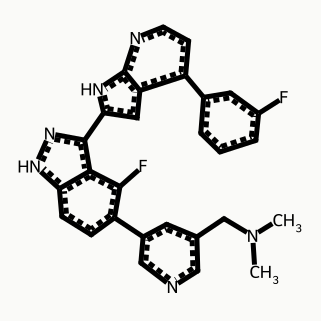 CN(C)Cc1cncc(-c2ccc3[nH]nc(-c4cc5c(-c6cccc(F)c6)ccnc5[nH]4)c3c2F)c1